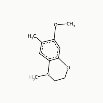 COc1cc2c(cc1C)N(C)CCO2